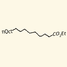 [CH2]CCCCCCCCCCCCCCCC(=O)OCC